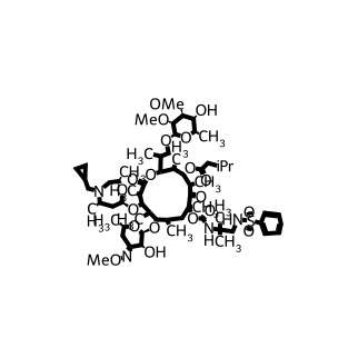 CON=C1C[C@@H](C)O[C@@H](OC2C(C)CC(C)(OC(=O)NC(C)(C)CNS(=O)(=O)c3ccccc3)C(=O)C(C)C(OC(=O)CC(C)C)C(C)C(C(C)CO[C@@H]3O[C@H](C)[C@@H](O)[C@@H](OC)[C@H]3OC)OC(=O)C(C)C(O[C@H]3C[C@@H](C)N(CC4CC4)C[C@H](C)O3)C2C)[C@@H]1O